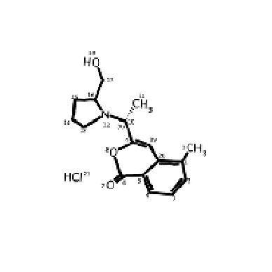 Cc1cccc2c(=O)oc([C@@H](C)N3CCCC3CO)cc12.Cl